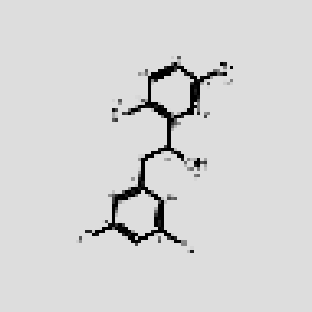 OC(Cc1cc(F)cc(F)c1)c1nc(Br)ccc1Br